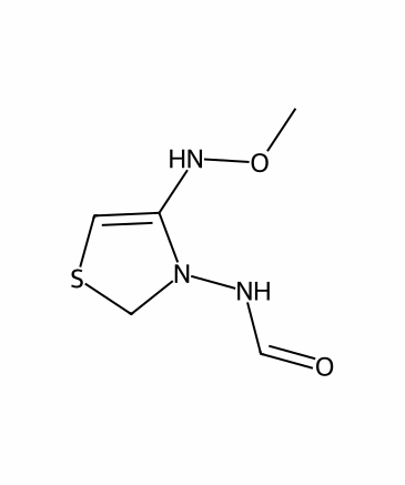 CONC1=CSCN1NC=O